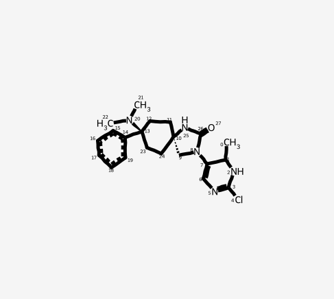 CC1NC(Cl)=NC=C1N1C[C@]2(CC[C@](c3ccccc3)(N(C)C)CC2)NC1=O